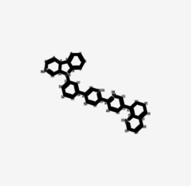 C1=CC2c3ccccc3N(c3cccc(-c4ccc(-c5ccc(C6=c7ncccc7=CCC6)cn5)nc4)c3)C2C=N1